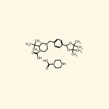 CC(C)(C)C1CN(Cc2ccc(B3OC(C)(C)C(C)(C)O3)cc2)CCN1C(=O)O.O=C(O)N1CCNCC1